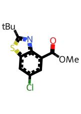 COC(=O)c1cc(Cl)cc2sc(C(C)(C)C)nc12